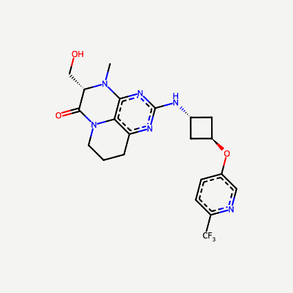 CN1c2nc(N[C@H]3C[C@H](Oc4ccc(C(F)(F)F)nc4)C3)nc3c2N(CCC3)C(=O)[C@@H]1CO